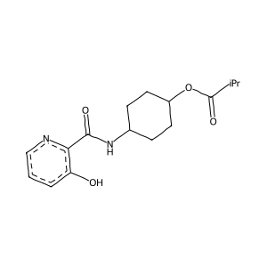 CC(C)C(=O)OC1CCC(NC(=O)c2ncccc2O)CC1